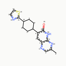 Cc1cnc2cc(C3CCC(c4nccs4)CC3)c(=O)[nH]c2n1